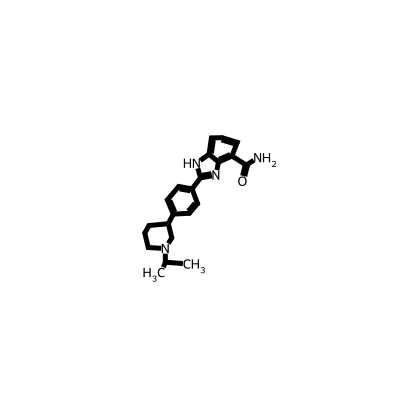 CC(C)N1CCCC(c2ccc(-c3nc4c(C(N)=O)cccc4[nH]3)cc2)C1